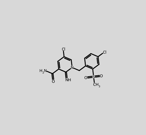 CS(=O)(=O)c1cc(Cl)ccc1Cn1cc(Cl)cc(C(N)=O)c1=N